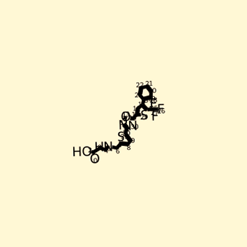 O=C(O)CCNCc1ccc(-c2noc(-c3cc(-c4ccccc4)c(C(F)(F)F)s3)n2)s1